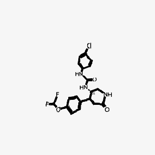 O=C1CC(c2ccc(OC(F)F)cc2)[C@H](NC(=O)Nc2ccc(Cl)cc2)CN1